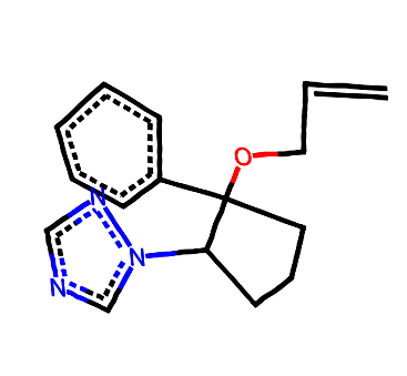 C=CCOC1(c2ccccc2)CCCC1n1cncn1